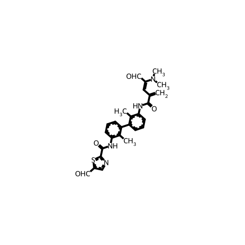 C=C(/C=C(/C=O)N(C)C)C(=O)Nc1cccc(-c2cccc(NC(=O)c3ncc(C=O)s3)c2C)c1C